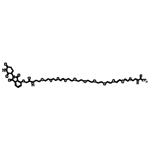 O=C(COc1cccc2c1C(=O)N(C1CCC(=O)NC1=O)C2=O)NCCOCCOCCOCCOCCOCCOCCOCCOCCOCCOCCOCCNC(=O)C(F)(F)F